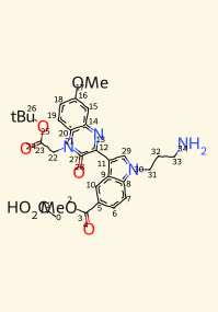 CC(=O)O.COC(=O)c1ccc2c(c1)c(-c1nc3cc(OC)ccc3n(CC(=O)OC(C)(C)C)c1=O)cn2CCCN